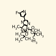 CC(C)c1nc(-c2cncc(F)c2)cnc1N(C(=O)OC(C)(C)C)C(=O)OC(C)(C)C